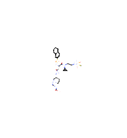 CS(=O)(=O)NCCN(C(=O)[C@H](CC(=O)NC[C@@H]1CCCN(/N=C\NC(=O)O)C1)NS(=O)(=O)c1ccc2ccccc2c1)C1CC1